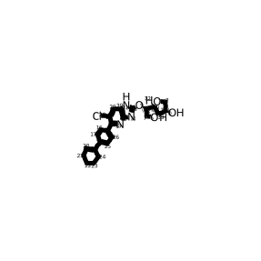 O[C@@H]1CO[C@H]2[C@@H]1OC[C@H]2Oc1nc2nc(-c3ccc(C4=CCCCC4)cc3)c(Cl)cc2[nH]1